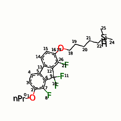 CCCOc1ccc2c(c1F)C(F)(F)c1c-2ccc(OCCCCC[SiH](C)C)c1F